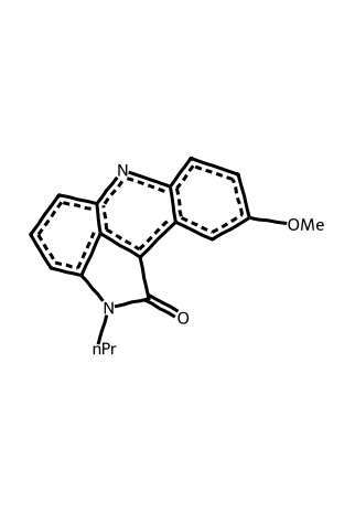 CCCN1C(=O)c2c3cc(OC)ccc3nc3cccc1c23